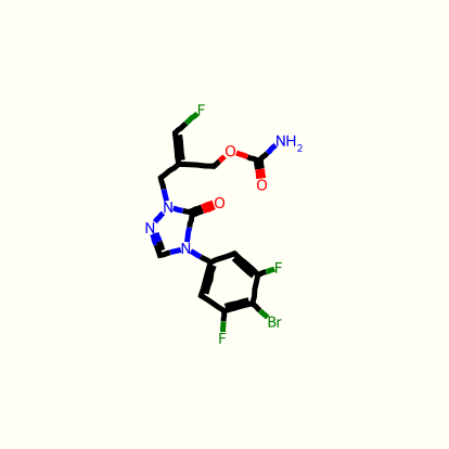 NC(=O)OC/C(=C\F)Cn1ncn(-c2cc(F)c(Br)c(F)c2)c1=O